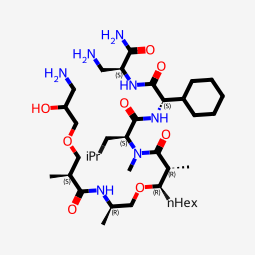 CCCCCC[C@@H](OC[C@@H](C)NC(=O)[C@@H](C)COCC(O)CN)[C@@H](C)C(=O)N(C)[C@@H](CC(C)C)C(=O)N[C@H](C(=O)N[C@@H](CN)C(N)=O)C1CCCCC1